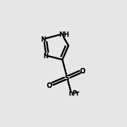 CCCS(=O)(=O)c1c[nH]nn1